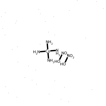 O=[N+]([O-])O.O=[N+]([O-])O.[NH2][Co]([NH2])([NH2])[NH2]